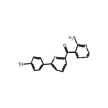 CCc1ccc(-c2cccc(C(=O)c3cccnc3N)n2)cc1